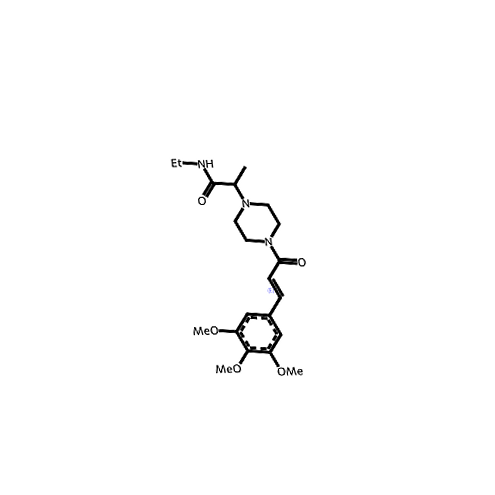 CCNC(=O)C(C)N1CCN(C(=O)/C=C/c2cc(OC)c(OC)c(OC)c2)CC1